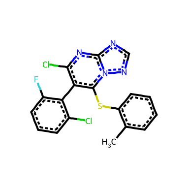 Cc1ccccc1Sc1c(-c2c(F)cccc2Cl)c(Cl)nc2ncnn12